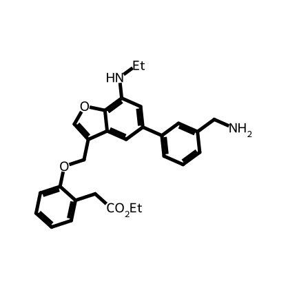 CCNc1cc(-c2cccc(CN)c2)cc2c(COc3ccccc3CC(=O)OCC)coc12